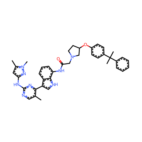 Cc1cnc(Nc2cc(C)n(C)n2)nc1-c1c[nH]c2c(NC(=O)CN3CCC(Oc4ccc(C(C)(C)c5ccccc5)cc4)C3)cccc12